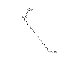 CCCCCCCCCCCCCCCCCCCCCCCCCCCC(=O)OCCCCCCCCCCCC